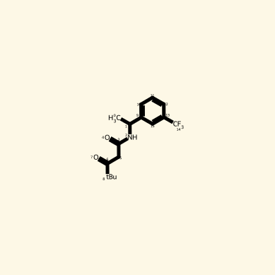 CC(NC(=O)CC(=O)C(C)(C)C)c1cccc(C(F)(F)F)c1